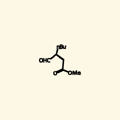 CCCCC(C=O)CC(=O)OC